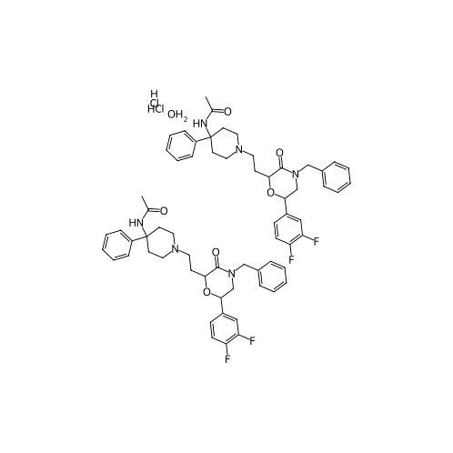 CC(=O)NC1(c2ccccc2)CCN(CCC2OC(c3ccc(F)c(F)c3)CN(Cc3ccccc3)C2=O)CC1.CC(=O)NC1(c2ccccc2)CCN(CCC2OC(c3ccc(F)c(F)c3)CN(Cc3ccccc3)C2=O)CC1.Cl.Cl.O